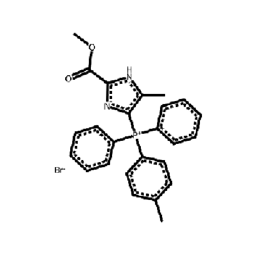 COC(=O)c1nc([P+](c2ccccc2)(c2ccccc2)c2ccc(C)cc2)c(C)[nH]1.[Br-]